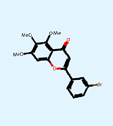 COc1cc2oc(-c3cccc(Br)c3)cc(=O)c2c(OC)c1OC